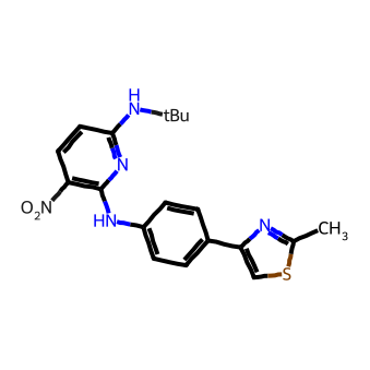 Cc1nc(-c2ccc(Nc3nc(NC(C)(C)C)ccc3[N+](=O)[O-])cc2)cs1